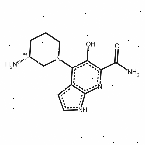 NC(=O)c1nc2[nH]c[c]c2c(N2CCC[C@@H](N)C2)c1O